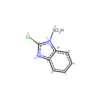 O=S(=O)(O)n1c(Cl)nc2ccccc21